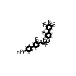 CCCc1ccc(-c2ccc(/C=C/C(F)(F)Oc3ccc(-c4cc(F)c(F)c(F)c4)c(F)c3)c(F)c2)cc1